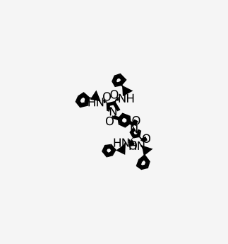 O=C(N[C@H]1C[C@@H]1c1ccccc1)[C@H]1CN(C(=O)c2ccc(C(=O)N3C[C@@H](C(=O)N[C@H]4C[C@@H]4c4ccccc4)[C@H](C(=O)N[C@H]4C[C@@H]4c4ccccc4)C3)cc2)C[C@@H]1C(=O)N[C@H]1C[C@@H]1c1ccccc1